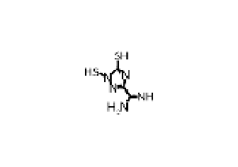 N=C(N)c1nc(S)n(S)n1